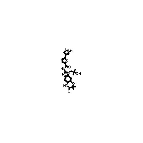 CC(C)(O)Cn1c(NC(=O)c2ccc(-c3cn[nH]c3)s2)nc2cc3c(cc21)OC(C)(C)C(=O)N3